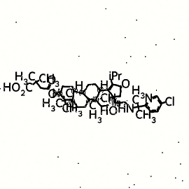 CC(C)C1=C2[C@H]3CC[C@@H]4[C@@]5(C)CC[C@H](OC(=O)CC(C)(C)C(=O)O)C(C)(C)[C@@H]5CC[C@@]4(C)[C@]3(C)CC[C@@]2([C@@H](O)CNC(C)(C)c2ccc(Cl)cn2)CC1=O